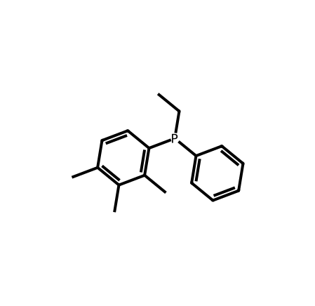 CCP(c1ccccc1)c1ccc(C)c(C)c1C